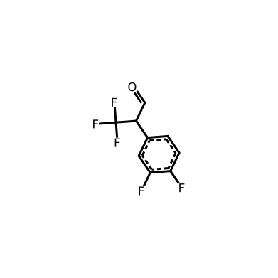 O=CC(c1ccc(F)c(F)c1)C(F)(F)F